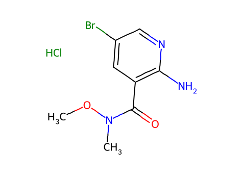 CON(C)C(=O)c1cc(Br)cnc1N.Cl